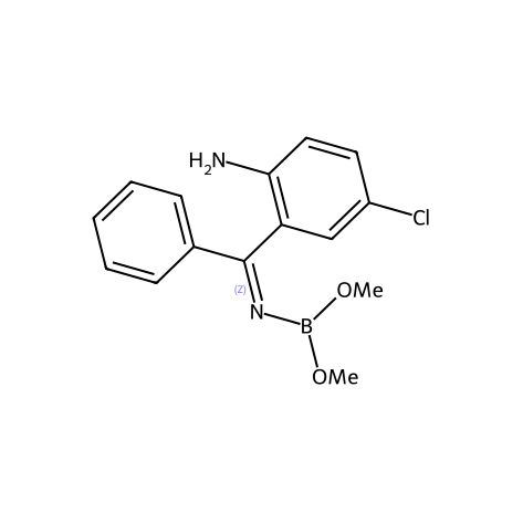 COB(/N=C(/c1ccccc1)c1cc(Cl)ccc1N)OC